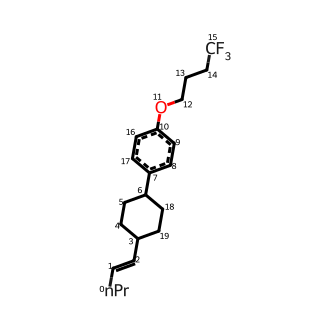 CCCC=CC1CCC(c2ccc(OCCCC(F)(F)F)cc2)CC1